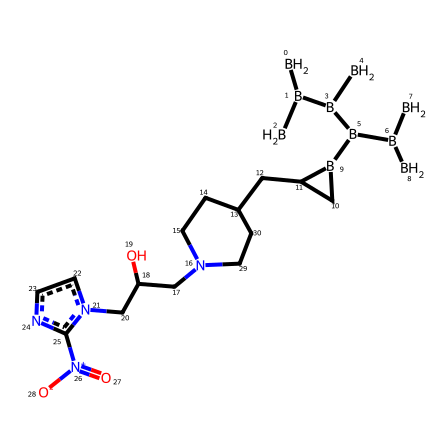 BB(B)B(B)B(B(B)B)B1CC1CC1CCN(CC(O)Cn2ccnc2[N+](=O)[O-])CC1